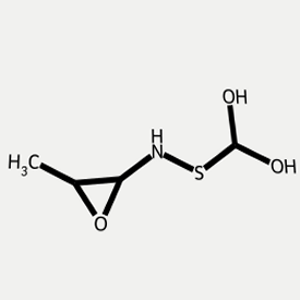 CC1OC1NSC(O)O